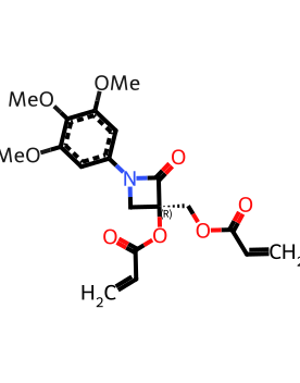 C=CC(=O)OC[C@]1(OC(=O)C=C)CN(c2cc(OC)c(OC)c(OC)c2)C1=O